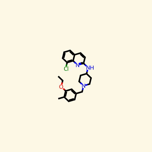 CCOc1cc(CN2CCC(Nc3ccc4cccc(Cl)c4n3)CC2)ccc1C